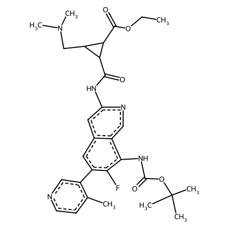 CCOC(=O)C1C(CN(C)C)C1C(=O)Nc1cc2cc(-c3cnccc3C)c(F)c(NC(=O)OC(C)(C)C)c2cn1